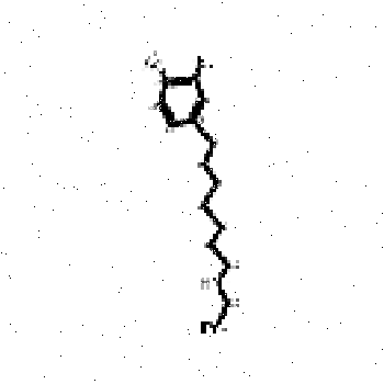 CCc1cc(CCCCCCCNCC(C)C)ccc1C(C)=O